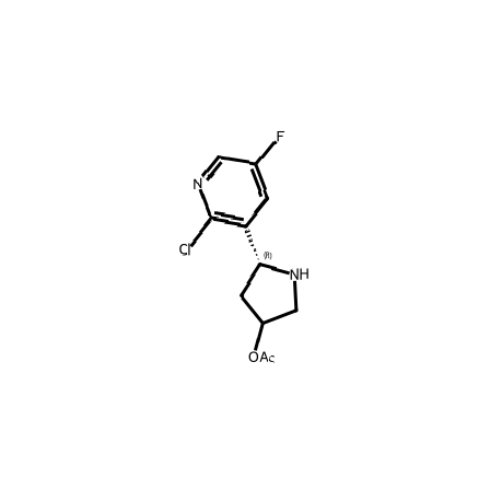 CC(=O)OC1CN[C@@H](c2cc(F)cnc2Cl)C1